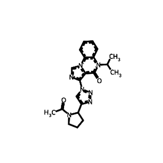 CC(=O)N1CCCC1c1cn(-c2ncn3c2c(=O)n(C(C)C)c2ccccc23)nn1